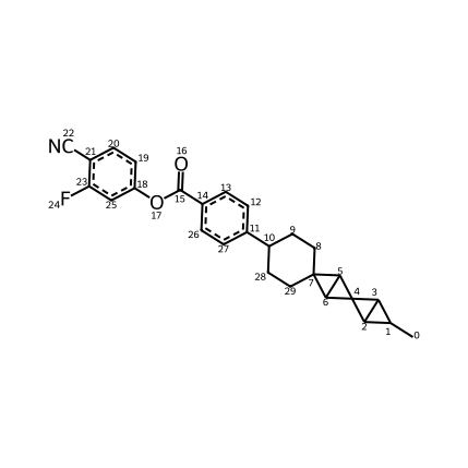 CC1C2C1C21C2C1C21CCC(c2ccc(C(=O)Oc3ccc(C#N)c(F)c3)cc2)CC1